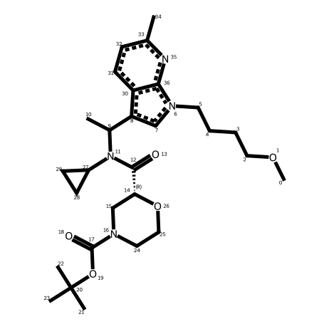 COCCCCn1cc(C(C)N(C(=O)[C@H]2CN(C(=O)OC(C)(C)C)CCO2)C2CC2)c2ccc(C)nc21